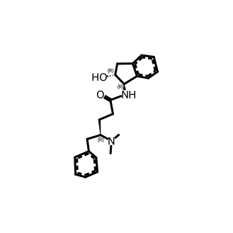 CN(C)[C@H](CCC(=O)N[C@@H]1c2ccccc2C[C@H]1O)Cc1ccccc1